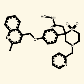 Cc1cc(COc2ccc(C3(CC(=O)NO)CN(Cc4ccccn4)CCS3(=O)=O)cc2)c2ccccc2n1